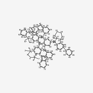 CC1(C)CCC(C)(C)c2cc3c(cc21)B1c2cc4c(cc2N(c2cccc5sc6ccccc6c25)c2cc(N5c6ccc(-c7ccccc7)cc6C6(C)CCCCC56C)cc(c21)N3c1cccc2c1sc1ccccc12)C(C)(C)c1ccccc1C4(C)C